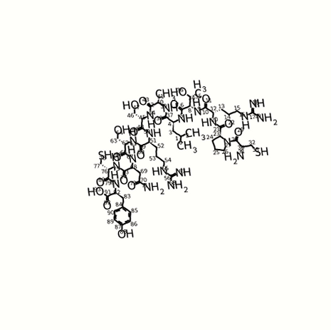 CC(C)C[C@H](NC(=O)[C@@H](NC(=O)[C@H](CCCNC(=N)N)NC(=O)[C@@H]1CCCN1C(=O)[C@@H](N)CS)[C@@H](C)O)C(=O)N[C@@H](C)C(=O)N[C@@H](CO)C(=O)N[C@@H](CCCNC(=N)N)C(=O)N[C@@H](CO)C(=O)N[C@@H](CC(N)=O)C(=O)N[C@@H](CS)C(=O)N[C@@H](Cc1ccc(O)cc1)C(=O)O